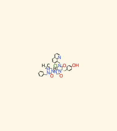 C=CCN(C(=O)NCc1ccccc1)N1CC(=O)N2[C@@H](Cc3ccc(O)cc3)C(=O)N(Cc3c(Cl)ccc4cccnc34)C[C@@H]21